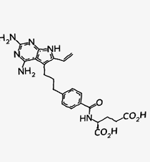 C=Cc1[nH]c2nc(N)nc(N)c2c1CCCc1ccc(C(=O)N[C@@H](CCC(=O)O)C(=O)O)cc1